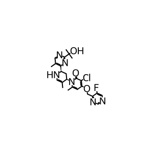 CC1=CN[C@@H](c2nc(C(C)(C)O)ncc2C)C[C@H]1n1c(C)cc(OCc2ncncc2F)c(Cl)c1=O